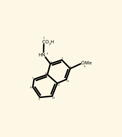 COc1cc(NC(=O)O)c2ccccc2c1